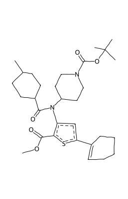 COC(=O)c1sc(C2=CCCCC2)cc1N(C(=O)C1CCC(C)CC1)C1CCN(C(=O)OC(C)(C)C)CC1